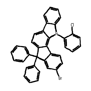 Clc1ccccc1-n1c2ccccc2c2ccc3c(c21)-c1ccc(Br)cc1C3(c1ccccc1)c1ccccc1